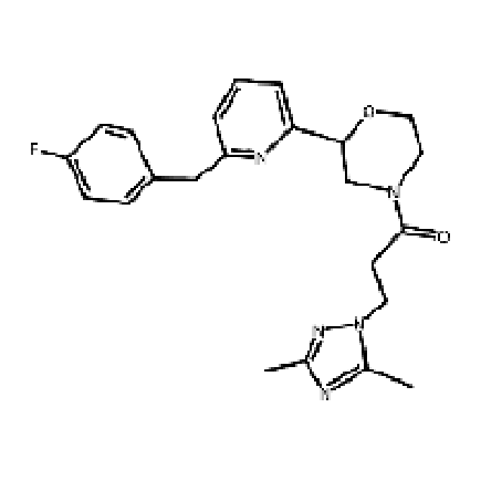 Cc1nc(C)n(CCC(=O)N2CCOC(c3cccc(Cc4ccc(F)cc4)n3)C2)n1